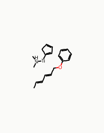 CC=CC=CCOc1ccccc1.C[SiH](C)[Ti][C]1=CC=CC1